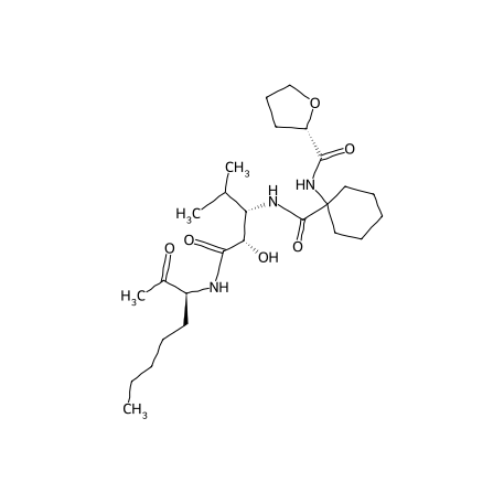 CCCCC[C@H](NC(=O)[C@@H](O)[C@@H](NC(=O)C1(NC(=O)[C@@H]2CCCO2)CCCCC1)C(C)C)C(C)=O